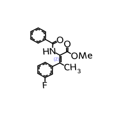 COC(=O)/C(NC(=O)c1ccccc1)=C(\C)c1cccc(F)c1